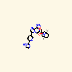 Nc1nc([C@@H]2C[C@H]3CC[C@@H](C2)N3C(=O)CO)cn2c(-c3ccc(-c4ncc[nH]4)nc3)cnc12